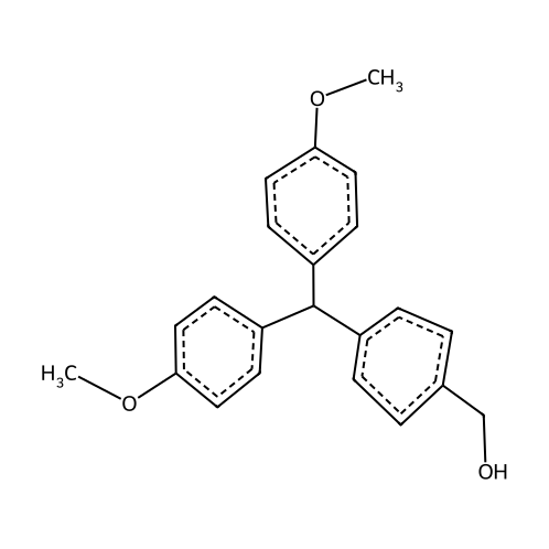 COc1ccc(C(c2ccc(CO)cc2)c2ccc(OC)cc2)cc1